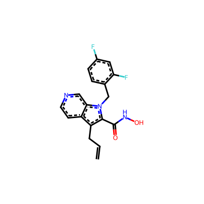 C=CCc1c(C(=O)NO)n(Cc2ccc(F)cc2F)c2cnccc12